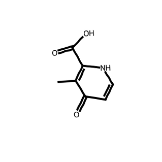 Cc1c(C(=O)O)[nH]ccc1=O